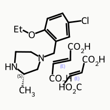 CCOc1ccc(Cl)cc1CN1CCN[C@@H](C)C1.O=C(O)/C=C/C(=O)O.O=C(O)/C=C/C(=O)O